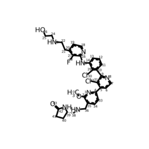 COc1nc(-c2ccnc(-c3cccc(Nc4nccc(CCNCCO)c4F)c3Cl)c2Cl)ccc1CNC[C@@H]1CCC(=O)N1